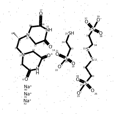 C[C@@H](CN1CC(=O)NC(=O)C1)N1CC(=O)NC(=O)C1.O=S(=O)([O-])CCS.O=S(=O)([O-])CCSSCCS(=O)(=O)[O-].[Na+].[Na+].[Na+]